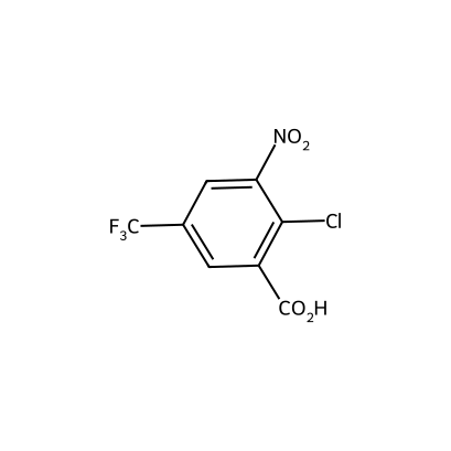 O=C(O)c1cc(C(F)(F)F)cc([N+](=O)[O-])c1Cl